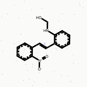 O=[N+]([O-])c1ccccc1/C=C/c1ccccc1NCO